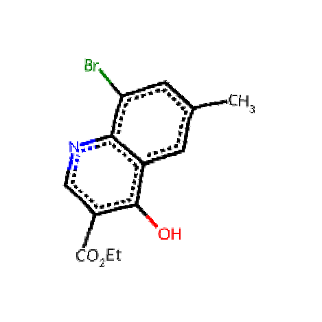 CCOC(=O)c1cnc2c(Br)cc(C)cc2c1O